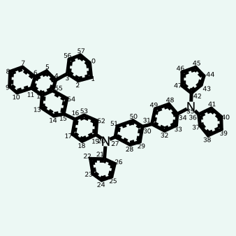 c1ccc(-c2cc3ccccc3c3ccc(-c4ccc(N(c5ccccc5)c5ccc(-c6ccc(N(c7ccccc7)c7ccccc7)cc6)cc5)cc4)cc23)cc1